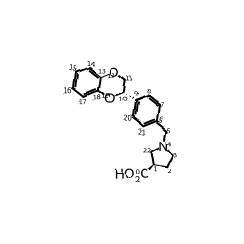 O=C(O)[C@@H]1CCN(Cc2ccc([C@H]3COc4ccccc4O3)cc2)C1